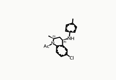 CC(=O)N1c2ccc(Cl)cc2[C@H](Nc2ccc(C)cc2)C[C@@H]1C